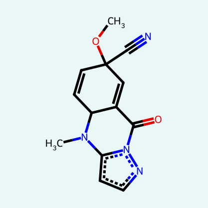 COC1(C#N)C=CC2C(=C1)C(=O)n1nccc1N2C